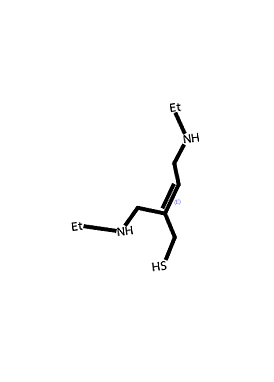 CCNC/C=C(/CS)CNCC